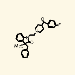 CSC1(Cc2ccccc2)C(=O)N(CCN2CCC(C(=O)c3ccc(F)cc3)CC2)c2ccccc21